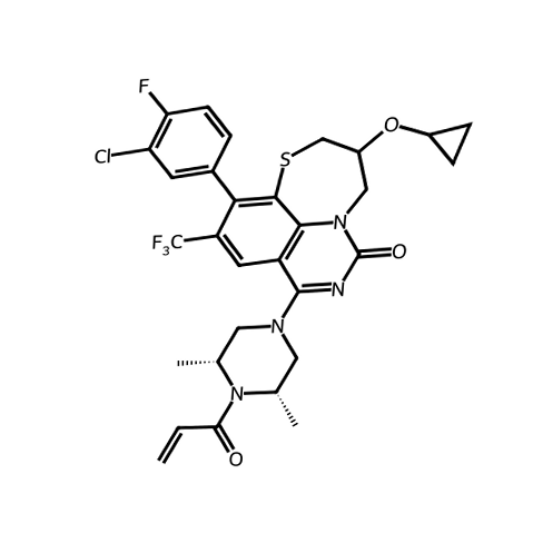 C=CC(=O)N1[C@H](C)CN(c2nc(=O)n3c4c(c(-c5ccc(F)c(Cl)c5)c(C(F)(F)F)cc24)SCC(OC2CC2)C3)C[C@@H]1C